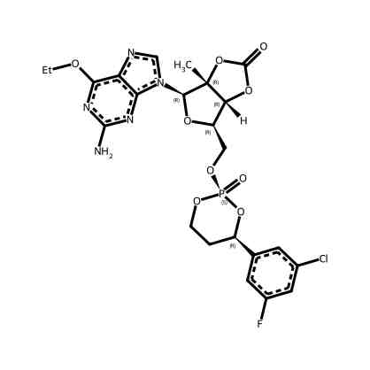 CCOc1nc(N)nc2c1ncn2[C@@H]1O[C@H](CO[P@]2(=O)OCC[C@H](c3cc(F)cc(Cl)c3)O2)[C@H]2OC(=O)O[C@]21C